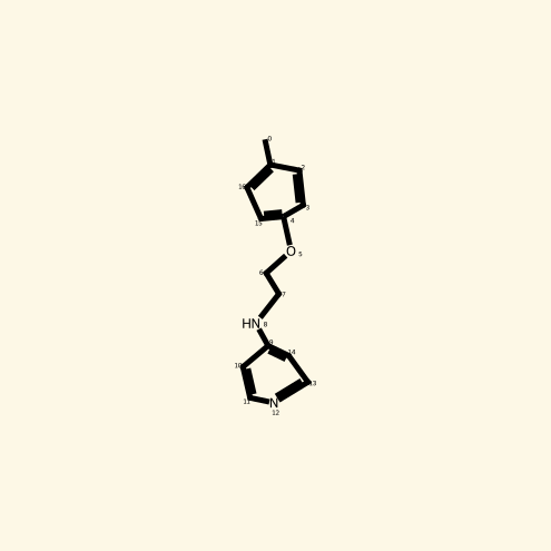 Cc1ccc(OCCNc2ccncc2)cc1